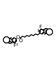 CC12CCCCCC(Cc3c(F)cc(CCCCCCCCC(=O)Oc4cc(F)c5c(c4)C4(C)CCCCCC(C5)C4N)cc31)C2N